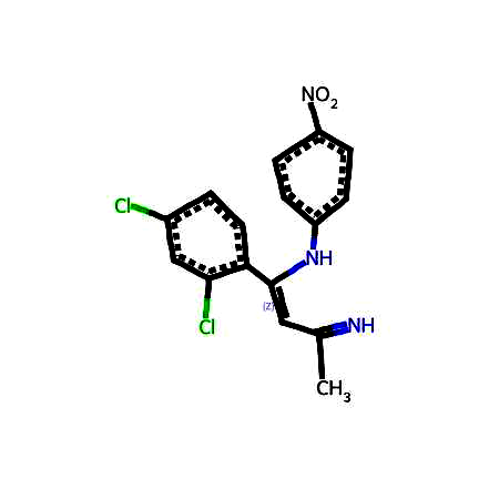 CC(=N)/C=C(\Nc1ccc([N+](=O)[O-])cc1)c1ccc(Cl)cc1Cl